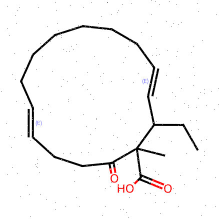 CCC1/C=C/CCCCCC/C=C/CCC(=O)C1(C)C(=O)O